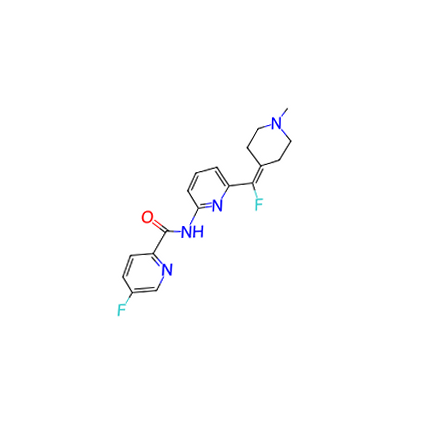 CN1CCC(=C(F)c2cccc(NC(=O)c3ccc(F)cn3)n2)CC1